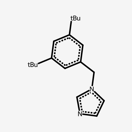 CC(C)(C)c1cc(Cn2ccnc2)cc(C(C)(C)C)c1